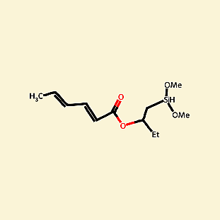 CC=CC=CC(=O)OC(CC)C[SiH](OC)OC